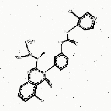 C[C@@H](c1nc2cccc(Cl)c2c(=O)n1-c1cccc(NC(=O)Nc2ccncc2Cl)c1)N(C(=O)O)C(C)(C)C